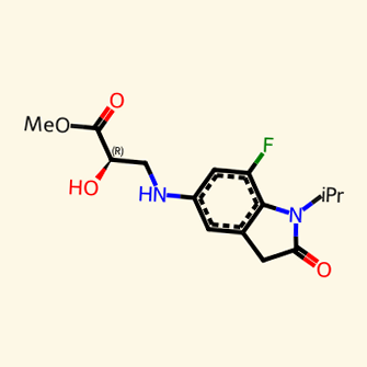 COC(=O)[C@H](O)CNc1cc(F)c2c(c1)CC(=O)N2C(C)C